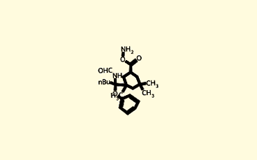 CCCCC(NC=O)(Oc1ccccc1)C1(C)CC(C(=O)ON)CC(C)(C)C1